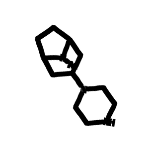 CC(=O)N1C2CCC1CC(N1CCNCC1)C2